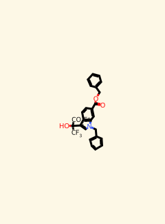 CCOC(=O)C(O)(c1cn(Cc2ccccc2)c2cc(C(=O)OCc3ccccc3)ccc12)C(F)(F)F